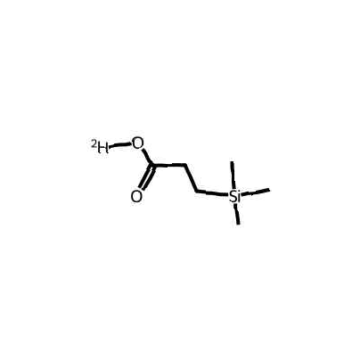 [2H]OC(=O)CC[Si](C)(C)C